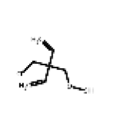 C=CC(C=C)(CCl)CO[SiH3]